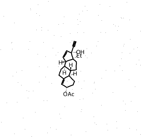 C#C[C@]1(O)C=C[C@H]2[C@@H]3CCC4=C[C@@H](OC(C)=O)CC[C@@H]4[C@H]3CC[C@@]21CC